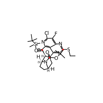 CCSc1nc(N2C[C@H]3CC[C@@H]([C@H]2CO[Si](C)(C)C(C)(C)C)N3C(=O)OC(C)(C)C)c2c(Br)nc(Cl)c(F)c2n1